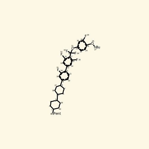 CCCCCC1CCC(C2CCC(c3ccc(-c4cc(F)c(C(F)(F)Oc5ccc(OCCCC)c(F)c5)c(F)c4)c(F)c3)CC2)CC1